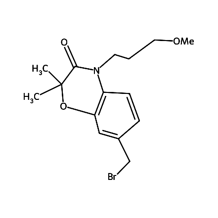 COCCCN1C(=O)C(C)(C)Oc2cc(CBr)ccc21